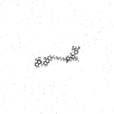 CC1(C)C(=O)N(c2ccc(C#N)c(C(F)(F)F)c2)C(=S)N1c1ccc(OCCCOCCCN2CCN(C(=O)c3cc(Cc4n[nH]c(=O)c5ccccc45)ccc3F)CC2)c(F)c1